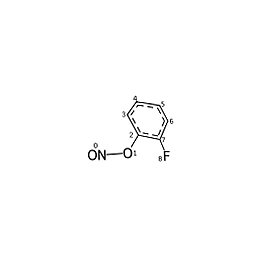 O=NOc1ccccc1F